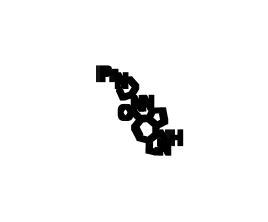 CC(C)N1CCC(n2nc3ccc4c5c(ccc(c3-4)c2=O)=CC=NN5)CC1